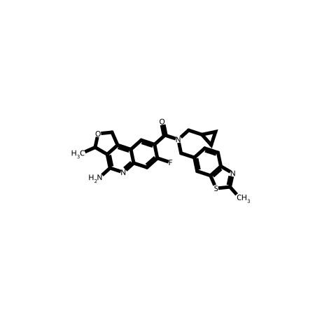 Cc1nc2ccc(CN(CC3CC3)C(=O)c3cc4c5c(c(N)nc4cc3F)C(C)OC5)cc2s1